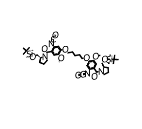 COc1cc(C(=O)N2CCCC2CO[Si](C)(C)C(C)(C)C)c(N=C=O)cc1OCCCCCOc1cc(N=C=O)c(C(=O)N2CCC[C@H]2CO[Si](C)(C)C(C)(C)C)cc1OC